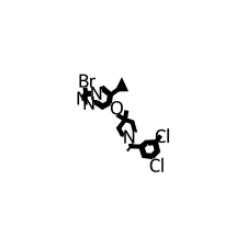 C[C@H](c1cc(Cl)cc(Cl)c1)N1CCC(C)(COc2cc3nnc(Br)n3cc2C2CC2)CC1